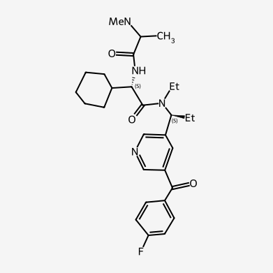 CC[C@@H](c1cncc(C(=O)c2ccc(F)cc2)c1)N(CC)C(=O)[C@@H](NC(=O)C(C)NC)C1CCCCC1